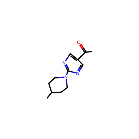 CC(=O)c1cnc(N2CCC(C)CC2)nc1